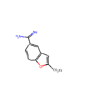 CCOC(=O)c1cc2cc(C(=N)N)ccc2o1